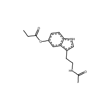 CCC(=O)Oc1ccc2[nH]cc(CCNC(C)=O)c2c1